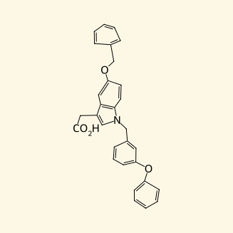 O=C(O)Cc1cn(Cc2cccc(Oc3ccccc3)c2)c2ccc(OCc3ccccc3)cc12